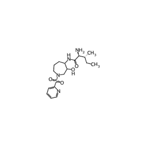 CC[C@@H](C)[C@H](N)C(=O)NC1CCCN(S(=O)(=O)c2ccccn2)CC1O